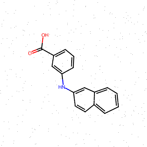 O=C(O)c1cccc(Nc2ccc3ccccc3c2)c1